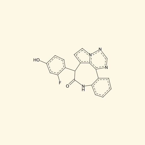 O=C1Nc2ccccc2-c2ncnn3ccc(c23)C1c1ccc(O)cc1F